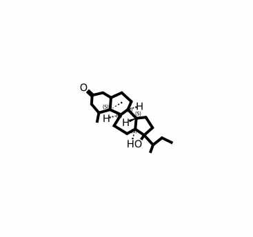 CCC(C)C1(O)CC[C@H]2[C@@H]3CCC4CC(=O)CC(C)[C@]4(C)[C@@H]3CC[C@@]21C